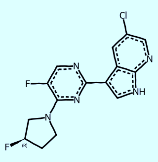 Fc1cnc(-c2c[nH]c3ncc(Cl)cc23)nc1N1CC[C@@H](F)C1